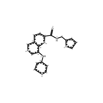 O=C(NCc1ccco1)c1ccc2cncc(Nc3ccncc3)c2n1